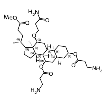 COC(=O)CC[C@@H](C)[C@H]1CC[C@H]2[C@@H]3[C@H](OC(=O)CCN)C[C@@H]4C[C@H](OC(=O)CCN)CC[C@]4(C)[C@H]3C[C@H](OCCC(N)=O)[C@]12C